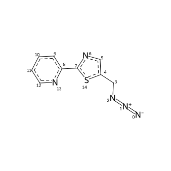 [N-]=[N+]=NCc1cnc(-c2ccccn2)s1